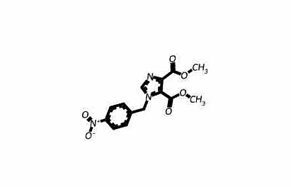 COC(=O)c1ncn(Cc2ccc([N+](=O)[O-])cc2)c1C(=O)OC